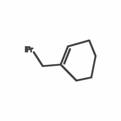 CC(C)CC1=CCCCC1